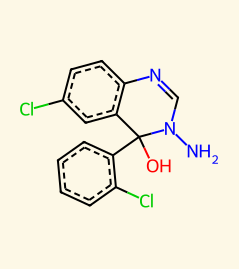 NN1C=Nc2ccc(Cl)cc2C1(O)c1ccccc1Cl